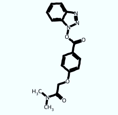 CN(C)C(=O)COc1ccc(C(=O)On2nnc3ccccc32)cc1